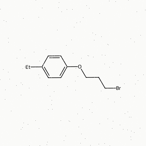 C[CH]c1ccc(OCCCBr)cc1